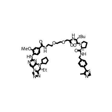 CC[C@@H]1c2nncn2-c2cnc(Nc3ccc(C(=O)NCCOCCOCC(=O)N[C@H](C(=O)N4CCC[C@H]4C(=O)NCc4ccc(-c5scnc5C)cc4)C(C)(C)C)cc3OC)nc2N1C1CCCC1